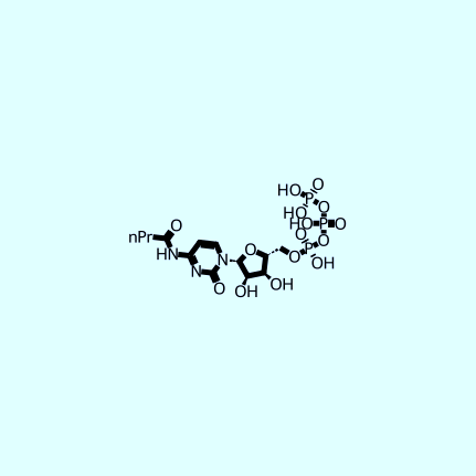 CCCC(=O)Nc1ccn([C@@H]2O[C@H](COP(=O)(O)OP(=O)(O)OP(=O)(O)O)[C@@H](O)[C@H]2O)c(=O)n1